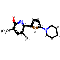 CCc1cc(C(=O)O)c(=O)[nH]c1-c1ccc(N2CCCCC2)s1